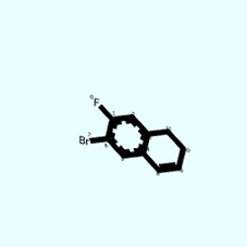 Fc1cc2c(cc1Br)C=CCC2